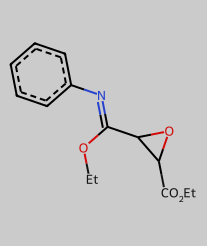 CCOC(=O)C1OC1C(=Nc1ccccc1)OCC